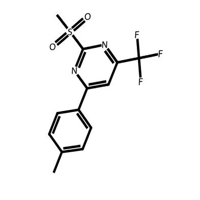 Cc1ccc(-c2cc(C(F)(F)F)nc(S(C)(=O)=O)n2)cc1